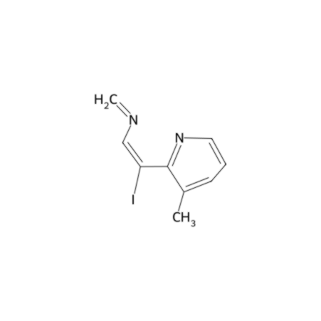 C=N/C=C(/I)c1ncccc1C